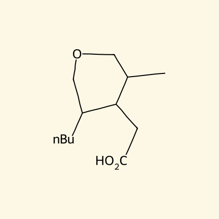 CCCCC1COCC(C)C1CC(=O)O